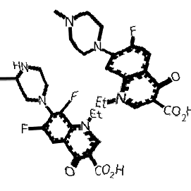 CCn1cc(C(=O)O)c(=O)c2cc(F)c(N3CCN(C)CC3)cc21.CCn1cc(C(=O)O)c(=O)c2cc(F)c(N3CCNC(C)C3)c(F)c21